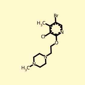 Cc1c(Br)cnc(OCCN2CCN(C)CC2)c1Cl